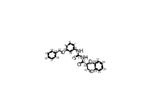 O=C(NC(=S)Nc1cccc(OCc2ccccc2)c1)[C@@H]1COc2ccccc2O1